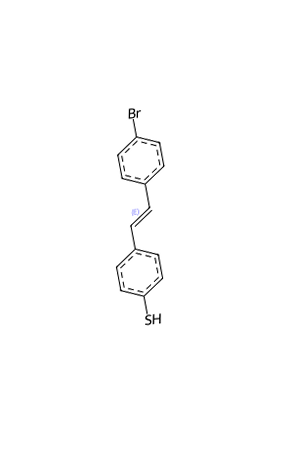 Sc1ccc(/C=C/c2ccc(Br)cc2)cc1